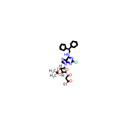 CCC(=O)CC(=O)[C@H]1O[C@@H](n2cnc3c(NCC(c4ccccc4)c4ccccc4)nc(Cl)nc32)[C@@H]2OC(C)(C)O[C@@H]21